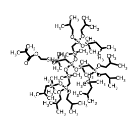 C=C(C)C(=O)OC[SiH2]O[Si](C)(C)C[Si](O[Si](C)(C)C[Si](OCC(C)C)(OCC(C)C)O[Si](C)(C)CC(C)C)(O[Si](C)(C)C[Si](OCC(C)C)(OCC(C)C)O[Si](C)(C)CC(C)C)O[Si](C)(C)C[Si](OCC(C)C)(OCC(C)C)O[Si](C)(C)CC(C)C